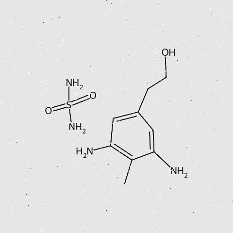 Cc1c(N)cc(CCO)cc1N.NS(N)(=O)=O